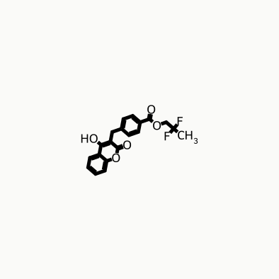 CC(F)(F)COC(=O)c1ccc(Cc2c(O)c3ccccc3oc2=O)cc1